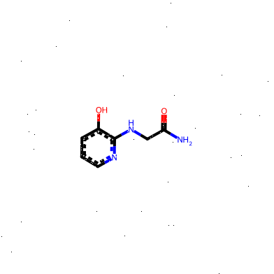 NC(=O)CNc1ncccc1O